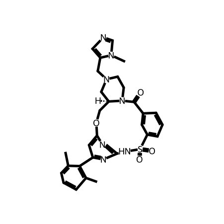 Cc1cccc(C)c1-c1cc2nc(n1)NS(=O)(=O)c1cccc(c1)C(=O)N1CCN(Cc3cncn3C)C[C@@H]1CO2